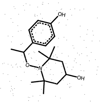 CC(ON1C(C)(C)CC(O)CC1(C)C)c1ccc(O)cc1